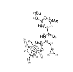 COC[C@@H](NC(=O)OC(C)(C)C)C(=O)N[C@@H](CC1CC1)B1O[C@@H]2C[C@@H]3C[C@@H](C3(C)C)[C@]2(C)O1